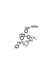 C=CC(=O)Nc1cc(-c2c(-c3ccc(NCCNC)cc3)[nH]c3ncc(C(=O)NCc4ccncc4)cc23)ccc1C